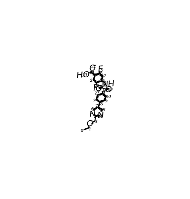 CCOCc1ncc(-c2ccc(S(=O)(=O)Nc3cc(F)c(C(=O)O)cc3F)cc2)cn1